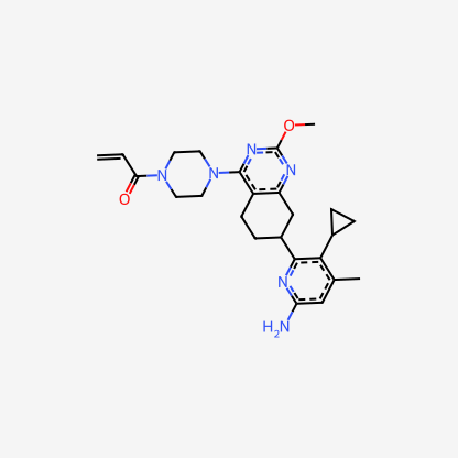 C=CC(=O)N1CCN(c2nc(OC)nc3c2CCC(c2nc(N)cc(C)c2C2CC2)C3)CC1